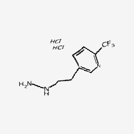 Cl.Cl.NNCCc1ccc(C(F)(F)F)nc1